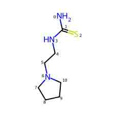 NC(=S)NCCN1CCCC1